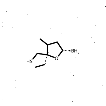 B[C@H]1CC(C)[C@](CC)(CS)O1